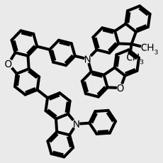 CC1(C)c2ccccc2-c2ccc(N(c3ccc(-c4cccc5oc6ccc(-c7ccc8c(c7)c7ccccc7n8-c7ccccc7)cc6c45)cc3)c3cccc4oc5ccccc5c34)cc21